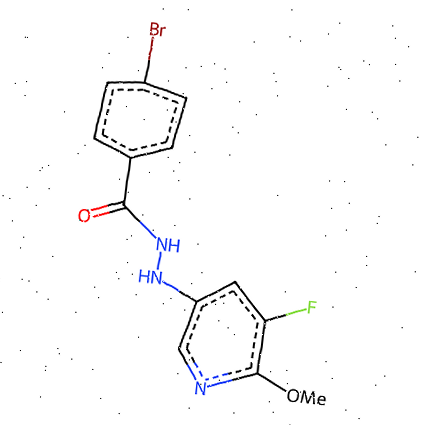 COc1ncc(NNC(=O)c2ccc(Br)cc2)cc1F